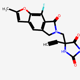 C#CC1(CN2Cc3cc4cc(C)oc4c(F)c3C2=O)NC(=O)NC1=O